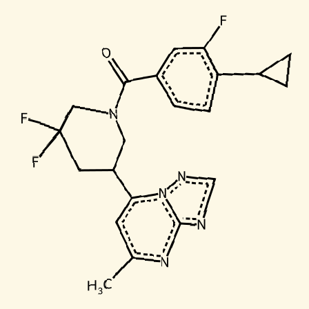 Cc1cc(C2CN(C(=O)c3ccc(C4CC4)c(F)c3)CC(F)(F)C2)n2ncnc2n1